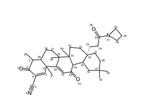 CC1C(=O)C(C#N)=CC2(C)C3=CC(=O)C4C5CC(C)(C)CC[C@]5(CCC(=O)N5CCC5)CCC4(C)C3(C)CCC12